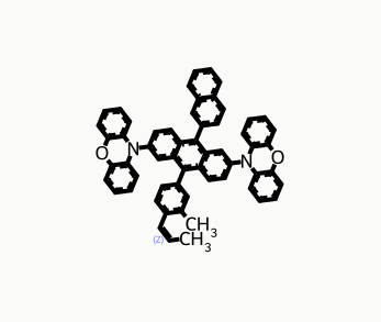 C/C=C\c1ccc(-c2c3ccc(N4c5ccccc5Oc5ccccc54)cc3c(-c3ccc4ccccc4c3)c3ccc(N4c5ccccc5Oc5ccccc54)cc23)cc1C